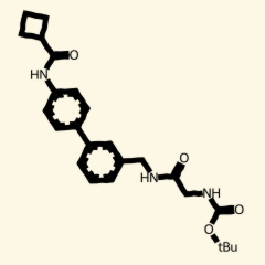 CC(C)(C)OC(=O)NCC(=O)NCc1cccc(-c2ccc(NC(=O)C3CCC3)cc2)c1